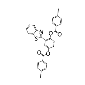 O=C(Oc1ccc(OC(=O)c2ccc(I)cc2)c(-c2nc3ccccc3s2)c1)c1ccc(I)cc1